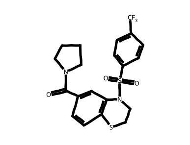 O=C(c1ccc2c(c1)N(S(=O)(=O)c1ccc(C(F)(F)F)cc1)CCS2)N1CCCC1